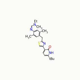 CCN(C)/C=N\c1cc(C)c(Cc2nc(-c3ccc(C(C)(C)C)[nH]c3=O)cs2)cc1C